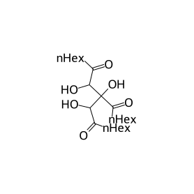 CCCCCCC(=O)C(O)C(O)(C(=O)CCCCCC)C(O)C(=O)CCCCCC